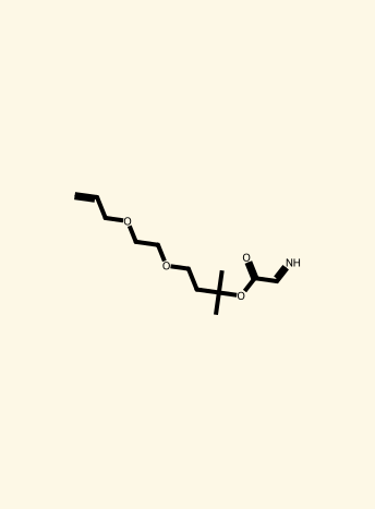 C=CCOCCOCCC(C)(C)OC(=O)C=N